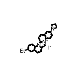 CCc1ccc2c(ccc3c[n+]4c5ccc(N6CCC6)cc5ccc4n32)c1.[I-]